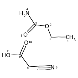 CCOC(N)=O.N#CCC(=O)O